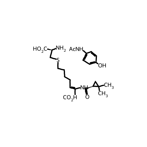 CC(=O)Nc1ccc(O)cc1.CC1(C)C[C@@H]1C(=O)N/C(=C\CCCCSC[C@H](N)C(=O)O)C(=O)O